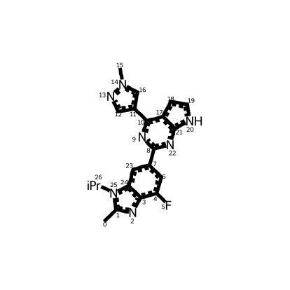 Cc1nc2c(F)cc(-c3nc(-c4cnn(C)c4)c4cc[nH]c4n3)cc2n1C(C)C